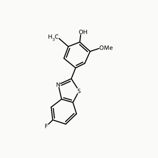 COc1cc(-c2nc3cc(F)ccc3s2)cc(C)c1O